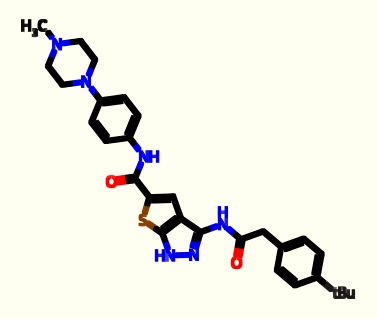 CN1CCN(c2ccc(NC(=O)c3cc4c(NC(=O)Cc5ccc(C(C)(C)C)cc5)n[nH]c4s3)cc2)CC1